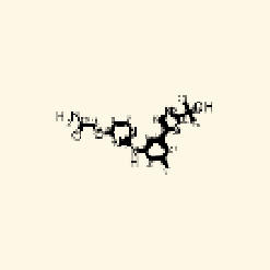 Cc1cc(Nc2nccc(OCC(N)=O)n2)cc(-c2cnc(C(C)(C)O)s2)c1